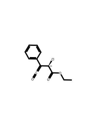 CCOC(=O)[C@H](Cl)C(=C=O)c1ccccc1